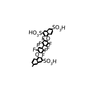 Cc1ccc2c(Oc3c(F)c(F)c(-c4c(F)c(F)c(Oc5cc(S(=O)(=O)O)cc6cc(S(=O)(=O)O)ccc56)c(F)c4F)c(F)c3F)cc(S(=O)(=O)O)cc2c1